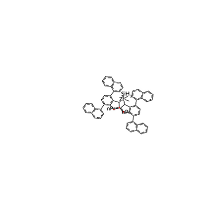 CCCC1=Cc2c(-c3cccc4ccccc34)ccc(-c3cccc4ccccc34)c2[CH]1[Zr]([CH3])([CH3])(=[SiH2])[CH]1C(CCC)=Cc2c(-c3cccc4ccccc34)ccc(-c3cccc4ccccc34)c21